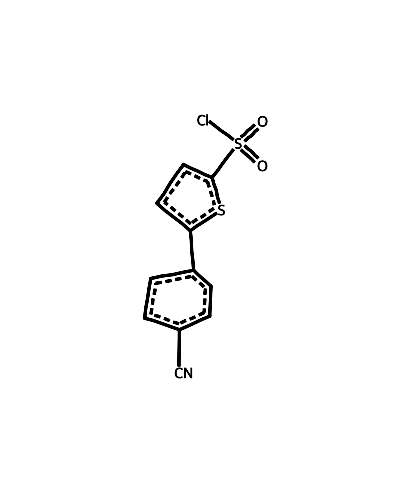 N#Cc1ccc(-c2ccc(S(=O)(=O)Cl)s2)cc1